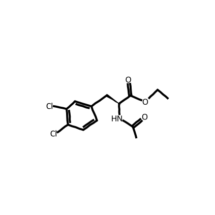 CCOC(=O)[C@H](Cc1ccc(Cl)c(Cl)c1)NC(C)=O